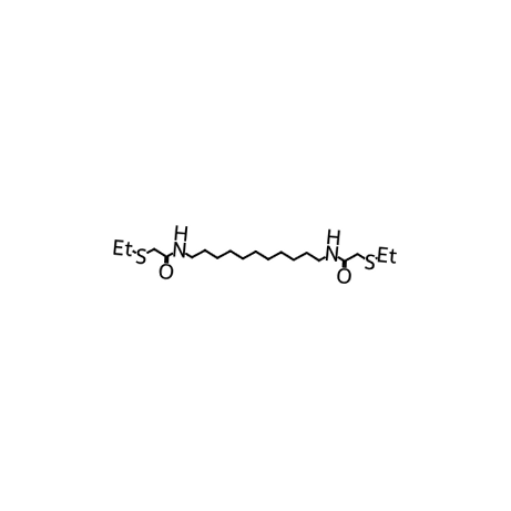 CCSCC(=O)NCCCCCCCCCCCNC(=O)CSCC